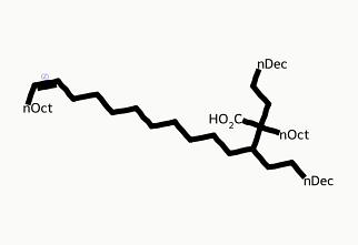 CCCCCCCC/C=C\CCCCCCCCCC(CCCCCCCCCCCC)C(CCCCCCCC)(CCCCCCCCCCCC)C(=O)O